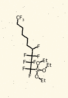 CCO[Si](OCC)(OCC)C(F)(F)C(F)(F)C(F)(F)C(F)CCCCCC(F)(F)F